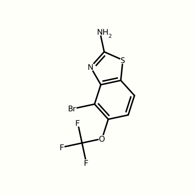 Nc1nc2c(Br)c(OC(F)(F)F)ccc2s1